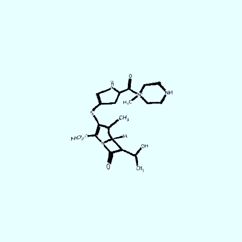 CC(O)C1C(=O)N2C(C(=O)O)=C(SC3CNC(C(=O)[N+]4(C)CCNCC4)C3)C(C)[C@H]12